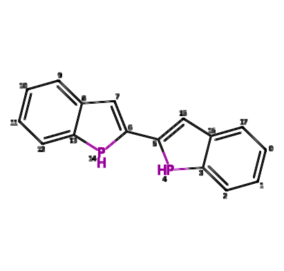 c1ccc2[pH]c(-c3cc4ccccc4[pH]3)cc2c1